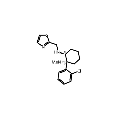 CN[C@@]1(c2ccccc2Cl)CCCC[C@@H]1NCc1nccs1